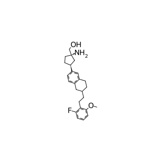 COc1cccc(F)c1CCC1CCc2cc([C@H]3CC[C@](N)(CO)C3)ccc2C1